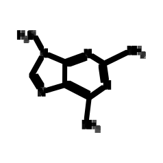 Nc1nc(N)c2ncn([SiH3])c2n1